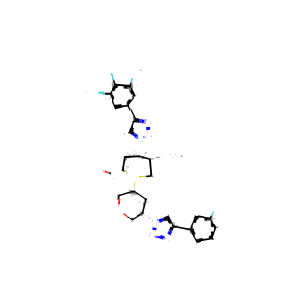 CO[C@H]1C[SH]([C@@H]2COC[C@H](n3cc(-c4cccc(F)c4)nn3)[C@H]2O)[C@H](CO)[C@H](O)[C@@H]1n1cc(-c2cc(F)c(F)c(F)c2)nn1